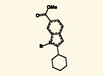 COC(=O)c1ccc2cc(C3CCCCC3)n(Br)c2c1